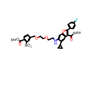 CNC(=O)c1c(-c2ccc(F)cc2)oc2cc(NCCOCCOCc3ccc(C(=O)OC)c([N+](=O)[O-])c3)c(C3CC3)cc12